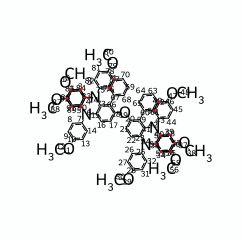 COc1ccc(N(c2ccc(OC)cc2)c2ccc(Oc3ccc(N(c4ccc(OC)cc4)c4ccc(OC)cc4)c(N(c4ccc(OC)cc4)c4ccc(OC)cc4)c3-c3ccccc3)c(-c3ccccc3)c2N(c2ccc(OC)cc2)c2ccc(OC)cc2)cc1